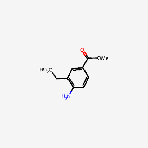 COC(=O)c1ccc(N)c(CC(=O)O)c1